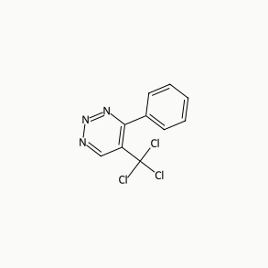 ClC(Cl)(Cl)c1cnnnc1-c1ccccc1